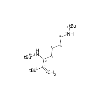 C=C(C(CCCCNC(C)(C)C)NC(C)(C)C)C(C)(C)C